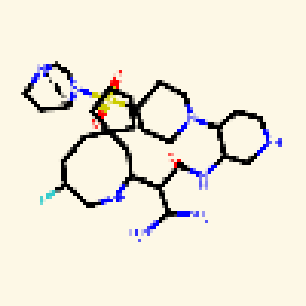 NC(N)C(C(=O)NC1CNCCC1N1CCC(S(=O)(=O)N2CCN3CCC2CC3)CC1)C1CC2(CCCC2)CCC(F)CN1